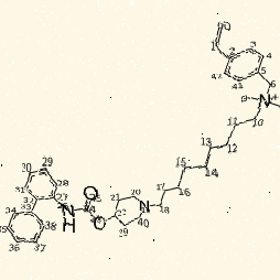 C=Cc1ccc(C[N+](C)(C)CCCCCCCCCN2CCC(OC(=O)Nc3ccccc3-c3ccccc3)CC2)cc1